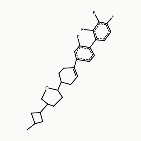 CC1CC(C2CCC(C3CC=C(c4ccc(-c5ccc(F)c(F)c5F)c(F)c4)CC3)OC2)C1